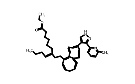 CCC/C=C(\CCCCCC(=O)OCC)CCC1=C2\C=C\C=C(c3c[nH]nc3-c3cccc(C)n3)\C=C/C2=C=CC/C=C\1